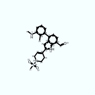 CNc1cccc(-c2ccc(C=O)c3[nH]c(C4=CCN(S(C)(=O)=O)CC4)cc23)c1C